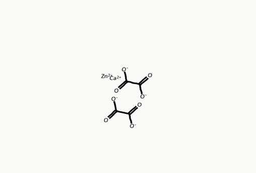 O=C([O-])C(=O)[O-].O=C([O-])C(=O)[O-].[Ca+2].[Zn+2]